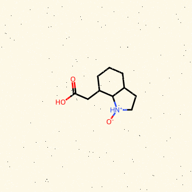 O=C(O)CC1CCCC2CC[NH+]([O-])C21